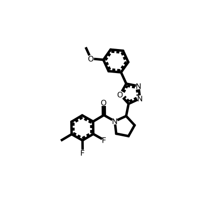 COc1cccc(-c2nnc(C3CCCN3C(=O)c3ccc(C)c(F)c3F)o2)c1